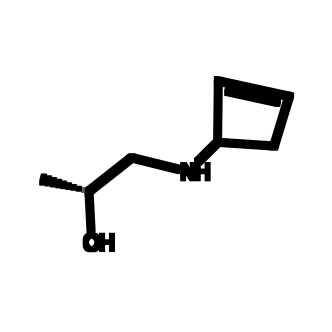 C[C@@H](O)CNC1C=CC1